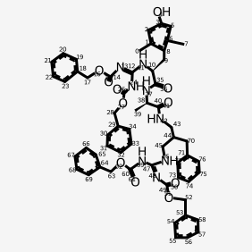 Cc1cc(O)cc(C)c1C[C@H](N/C(=N/C(=O)OCc1ccccc1)NC(=O)OCc1ccccc1)C(=O)N[C@H](C)C(=O)NCC(CN/C(=N\C(=O)OCc1ccccc1)NC(=O)OCc1ccccc1)Cc1ccccc1